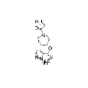 C=CC(=O)N1CCC[C@@H](O/C(=N/C)c2ccnn2C(C)C)CC1